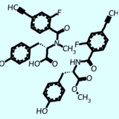 C#Cc1ccc(C(=O)N(C)[C@@H](Cc2ccc(O)cc2)C(=O)O)c(F)c1.C#Cc1ccc(C(=O)N[C@@H](Cc2ccc(O)cc2)C(=O)OC)c(F)c1